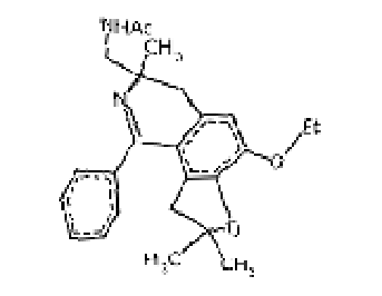 CCOc1cc2c(c3c1OC(C)(C)C3)C(c1ccccc1)=NC(C)(CNC(C)=O)C2